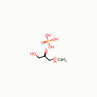 O=C(CO)CO.O=P(O)(O)O.[CaH2]